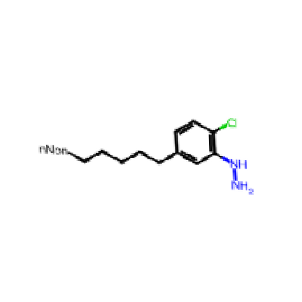 CCCCCCCCCCCCCCc1ccc(Cl)c(NN)c1